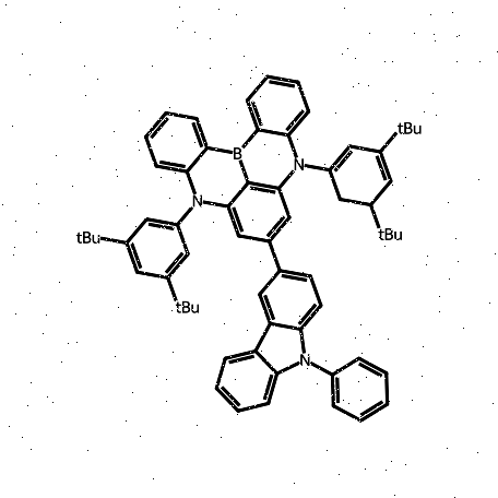 CC(C)(C)C1=CC(C(C)(C)C)CC(N2c3ccccc3B3c4ccccc4N(c4cc(C(C)(C)C)cc(C(C)(C)C)c4)c4cc(-c5ccc6c(c5)c5ccccc5n6-c5ccccc5)cc2c43)=C1